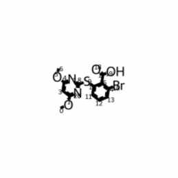 COc1cc(OC)nc(Sc2cccc(Br)c2C(=O)O)n1